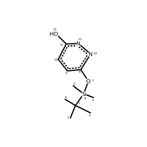 CC(C)(C)[Si](C)(C)Oc1ccc(O)nn1